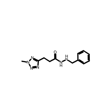 Cn1nnc(CCC(=O)NNCc2ccccc2)n1